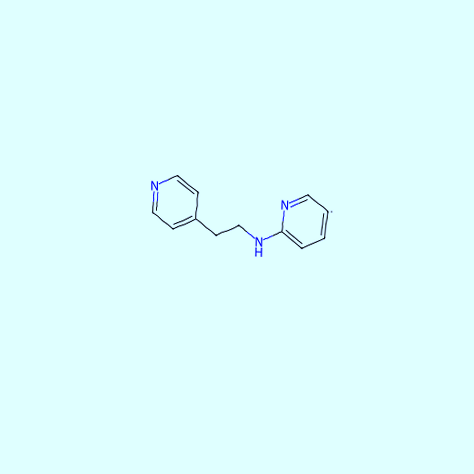 [c]1ccc(NCCc2ccncc2)nc1